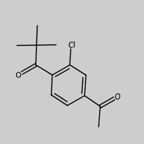 CC(=O)c1ccc(C(=O)C(C)(C)C)c(Cl)c1